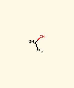 CCO.[SiH4]